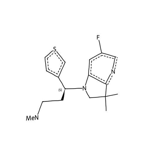 CNCC[C@@H](c1ccsc1)N1CC(C)(C)c2ncc(F)cc21